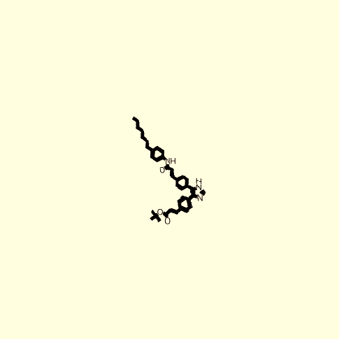 CCCCCCCc1ccc(NC(=O)C=Cc2ccc(-c3[nH]cnc3-c3ccc(C=CC(=O)OC(C)(C)C)cc3)cc2)cc1